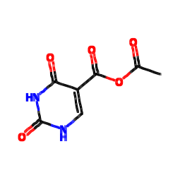 CC(=O)OC(=O)c1c[nH]c(=O)[nH]c1=O